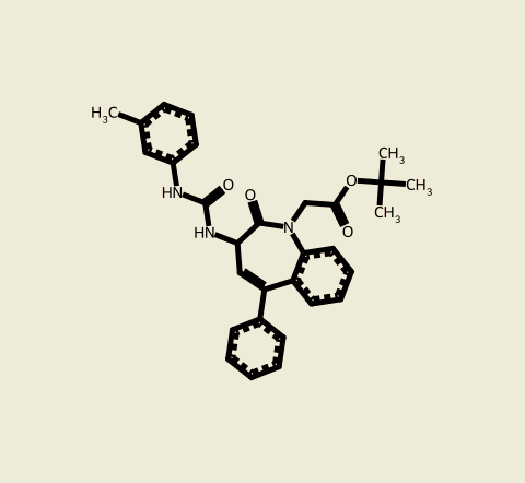 Cc1cccc(NC(=O)NC2C=C(c3ccccc3)c3ccccc3N(CC(=O)OC(C)(C)C)C2=O)c1